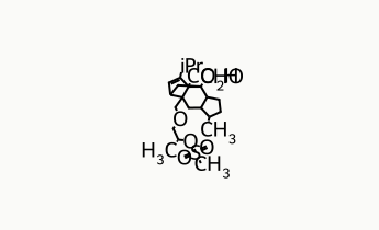 CC(C)C1=CC2CC3(C=O)C4CCC(C)C4CC2(COC[C@@H](C)OS(C)(=O)=O)C13C(=O)O